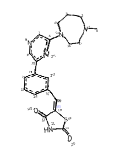 CN1CCCN(c2cncc(-c3cccc(/C=C4/SC(=O)NC4=O)c3)n2)CC1